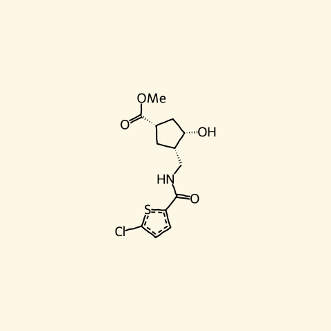 COC(=O)[C@H]1C[C@@H](CNC(=O)c2ccc(Cl)s2)[C@@H](O)C1